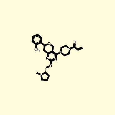 C=CC(=O)N1CCN(c2nc(OC[C@@H]3CCCN3C)nc3c2COC(c2ccccc2C(F)(F)F)C3)CC1